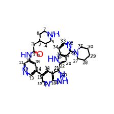 O=C(CC1CCNCC1)Nc1cncc(-c2cnc3[nH]nc(-c4cc5c(N6CCCCC6)nccc5[nH]4)c3c2)c1